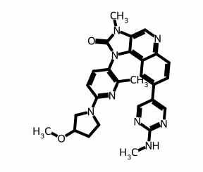 CNc1ncc(-c2ccc3ncc4c(c3c2)n(-c2ccc(N3CCC(OC)C3)nc2C)c(=O)n4C)cn1